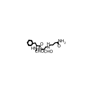 NC(=O)CCCNCC(C=O)NC(=O)C(Cc1ccccc1)NC=O